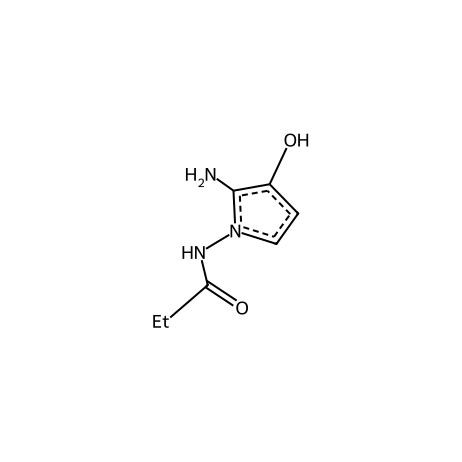 CCC(=O)Nn1ccc(O)c1N